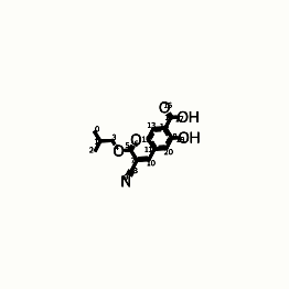 CC(C)COC(=O)C(C#N)=Cc1ccc(C(=O)O)c(O)c1